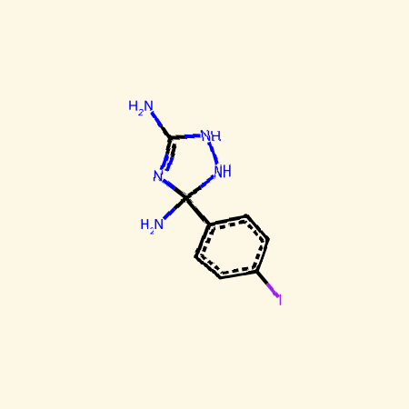 NC1=NC(N)(c2ccc(I)cc2)NN1